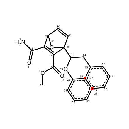 COC(=O)C1=C(C(N)=O)C2C=CC1(C(Cc1ccccc1)Oc1ccccc1)O2